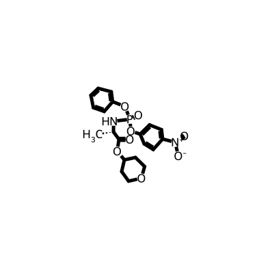 C[C@H](NP(=O)(Oc1ccccc1)Oc1ccc([N+](=O)[O-])cc1)C(=O)OC1CCOCC1